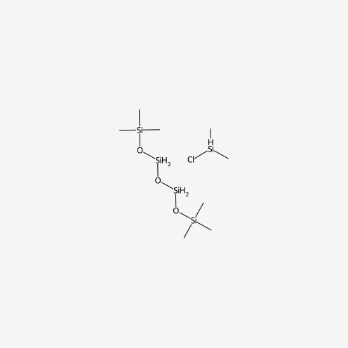 C[SiH](C)Cl.C[Si](C)(C)O[SiH2]O[SiH2]O[Si](C)(C)C